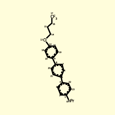 CCCc1ccc(-c2ccc(-c3ccc(OCCCC(F)(F)F)cc3)cc2)cc1